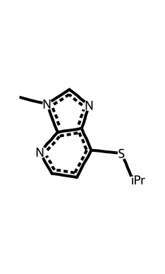 CC(C)Sc1ccnc2c1ncn2C